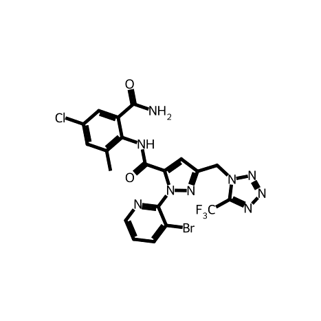 Cc1cc(Cl)cc(C(N)=O)c1NC(=O)c1cc(Cn2nnnc2C(F)(F)F)nn1-c1ncccc1Br